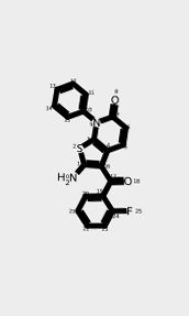 Nc1sc2c(ccc(=O)n2-c2ccccc2)c1C(=O)c1ccccc1F